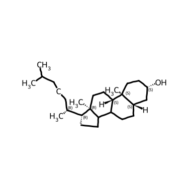 CC(C)CCC[C@@H](C)[C@H]1CCC2C3CC[C@H]4C[C@@H](O)CC[C@]4(C)[C@H]3CC[C@@]21C